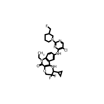 CCn1c(=O)c2c(c3cc(Nc4nc(N5CCCC(CF)C5)ncc4Cl)ccc31)NC(C1CC1)C(F)(F)CO2